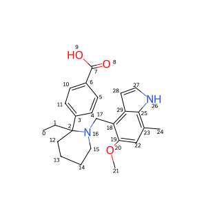 CCC1(c2ccc(C(=O)O)cc2)CCCCN1Cc1c(OC)cc(C)c2[nH]ccc12